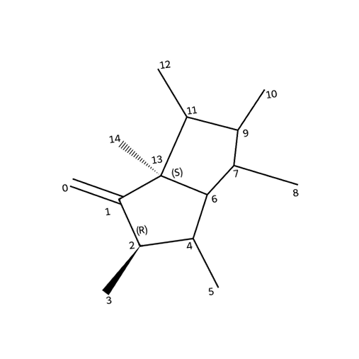 C=C1[C@H](C)C(C)C2C(C)C(C)C(C)[C@]12C